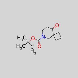 CC(C)(C)OC(=O)N1CCC(=O)C2(CCC2)C1